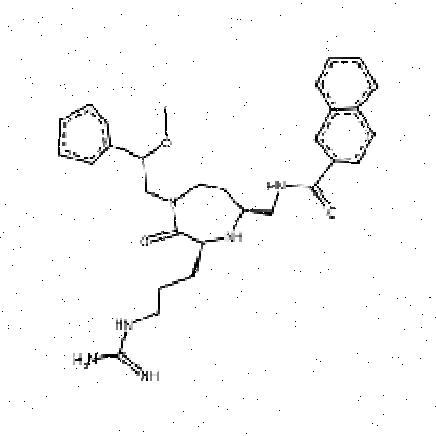 COC(CN1CC[C@@H](CNC(=O)c2ccc3ccccc3c2)N[C@@H](CCCNC(=N)N)C1=O)c1ccccc1